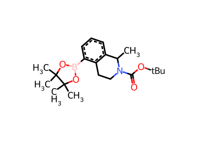 CC1c2cccc(B3OC(C)(C)C(C)(C)O3)c2CCN1C(=O)OC(C)(C)C